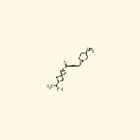 CC(C)C1CC2(C1)CN(C(=O)C#CCN1CCN(C)CC1)C2